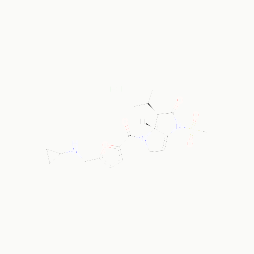 CC(C)[C@H]1C(=O)N(S(C)(=O)=O)C2=CCN(C(=O)c3ccc(CNC4CC4)o3)[C@@H]21.Cl